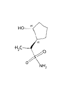 [CH2]C([C@@H]1CCC[C@H]1O)S(N)(=O)=O